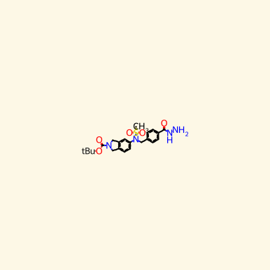 CC(C)(C)OC(=O)N1Cc2ccc(N(Cc3ccc(C(=O)NN)cc3)S(C)(=O)=O)cc2C1